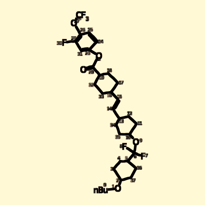 CCCCOC1CCC(C(F)(F)OC2CCC(/C=C/C3CCC(C(=O)Oc4ccc(OC(F)(F)F)c(F)c4)CC3)CC2)CC1